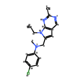 CN(Cc1cc2cnc(C#N)nc2n1CC(C)(C)C)c1ccc(Cl)cc1